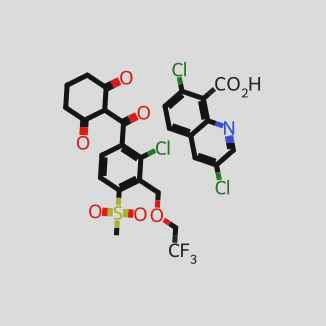 CS(=O)(=O)c1ccc(C(=O)C2C(=O)CCCC2=O)c(Cl)c1COCC(F)(F)F.O=C(O)c1c(Cl)ccc2cc(Cl)cnc12